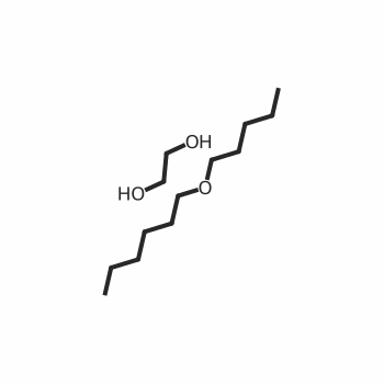 CCCCCCOCCCCC.OCCO